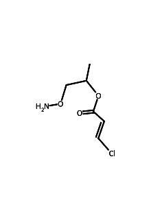 CC(CON)OC(=O)C=CCl